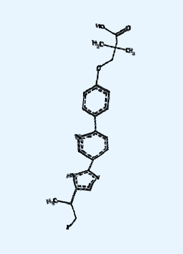 CC(CI)c1cnc(-c2ccc(-c3ccc(OCC(C)(C)C(=O)O)cc3)nc2)[nH]1